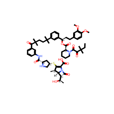 CCC(C)(C)C(=O)C(=O)N1CCCC[C@H]1C(=O)O[C@H](CCc1ccc(OC)c(OC)c1)c1cccc(C(C)(C)CCC(C)(C)C(=O)c2cccc(NC(=O)[C@@H]3C[C@H](SC4=C(C(=O)O)N5C(=O)[C@H]([C@@H](C)O)[C@H]5[C@H]4C)CN3)c2)c1